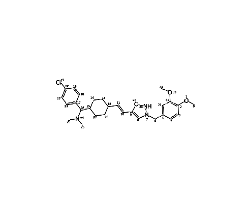 COc1ccc(CN2C=C(C=CC3CCC(C(c4ccc(Cl)cc4)N(C)C)CC3)ON2)cc1OC